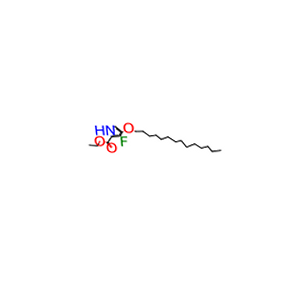 CCCCCCCCCCCCCCOc1c[nH]c(C(=O)OCC)c1F